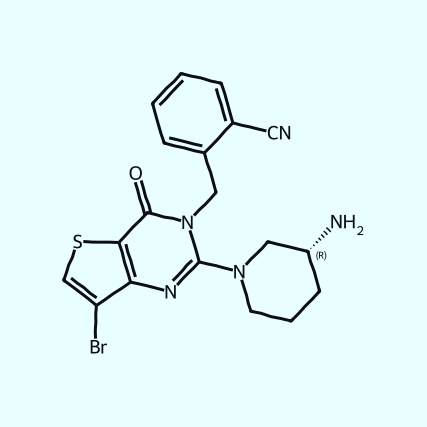 N#Cc1ccccc1Cn1c(N2CCC[C@@H](N)C2)nc2c(Br)csc2c1=O